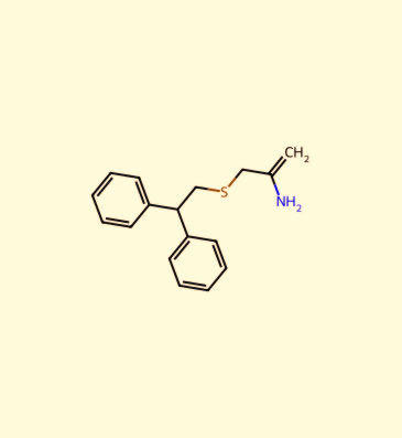 C=C(N)CSCC(c1ccccc1)c1ccccc1